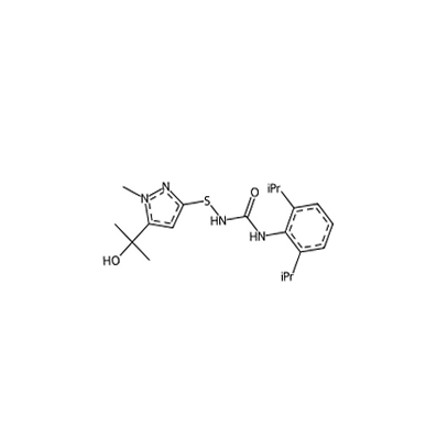 CC(C)c1cccc(C(C)C)c1NC(=O)NSc1cc(C(C)(C)O)n(C)n1